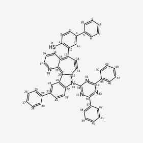 Sc1ccc(-c2ccccc2)cc1C1=c2cccnc2=C2c3cc(-c4ccccc4)ccc3N(c3nc(-c4ccccc4)nc(-c4ccccc4)n3)C2C#C1